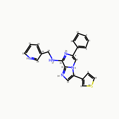 c1ccc(-c2cn3c(-c4ccsc4)cnc3c(NCc3cccnc3)n2)cc1